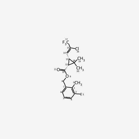 Cc1c(I)cccc1COC(=O)[C@@H]1[C@H](/C=C(\Cl)C(F)(F)F)C1(C)C